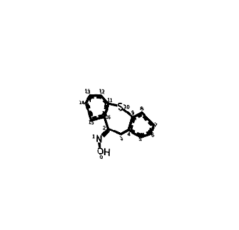 ON=C1Cc2ccccc2Sc2ccccc21